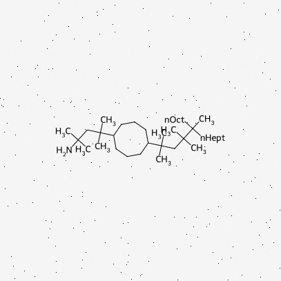 CCCCCCCCC(C)(CCCCCCC)C(C)(C)CC(C)(C)C1CCCC(C(C)(C)CC(C)(C)N)CCC1